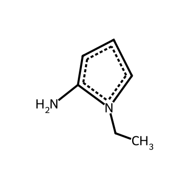 CCn1cccc1N